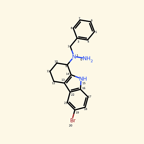 NN(Cc1ccccc1)C1CCCc2c1[nH]c1ccc(Br)cc21